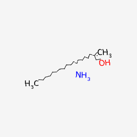 CCCCCCCCCCCCCCCCCC[C](CC)CCO.N